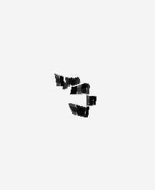 Cl.Cl.Cl.[PoH2]